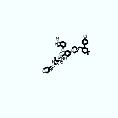 Cc1nc(OCC2(F)CCOCC2)sc1S(=O)(=O)NC(=O)c1ccc(N2CCN(CC3=C(c4ccc(Cl)cc4)CC(C)(C)CC3)CC2)cc1Oc1cccc2[nH]ncc12